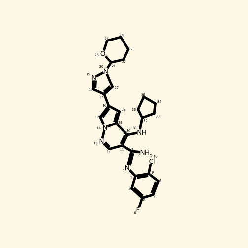 N/C(=N\c1cc(F)ccc1Cl)c1cnn2cc(-c3cnn(C4CCCCO4)c3)cc2c1NC1CCCC1